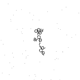 CCOC1=CC=CC(C#CC=CCOc2ccc(C[C@H](OCC)C(=O)O)cc2Br)(OCC)C1